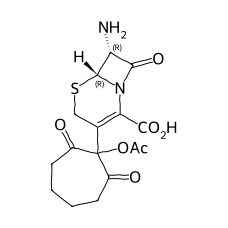 CC(=O)OC1(C2=C(C(=O)O)N3C(=O)[C@@H](N)[C@H]3SC2)C(=O)CCCCC1=O